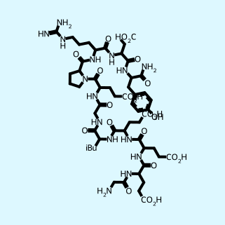 CCC(C)C(NC(=O)C(CCC(=O)O)NC(=O)C(CCC(=O)O)NC(=O)C(CCC(=O)O)NC(=O)CN)C(=O)NCC(=O)NC(CCC(=O)O)C(=O)N1CCCC1C(=O)NC(CCCNC(=N)N)C(=O)NC(CC(=O)O)C(=O)NC(Cc1ccc(O)cc1)C(N)=O